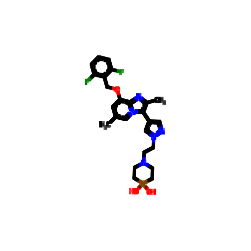 Cc1cc(OCc2c(F)cccc2F)c2nc(C)c(-c3cnn(CCN4CCS(O)(O)CC4)c3)n2c1